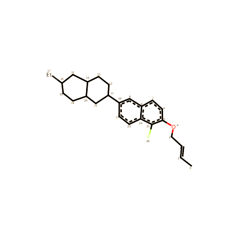 C/C=C/COc1ccc2cc(C3CCC4CC(CC)CCC4C3)ccc2c1F